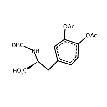 CC(=O)Oc1ccc(C[C@H](NC=O)C(=O)O)cc1OC(C)=O